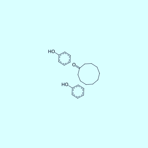 O=C1CCCCCCCCC1.Oc1ccccc1.Oc1ccccc1